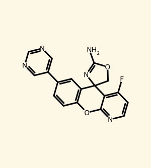 NC1=NC2(CO1)c1cc(-c3cncnc3)ccc1Oc1nccc(F)c12